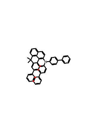 CC1(C)c2cc(-c3ccccc3)ccc2-c2c(N(c3ccc(-c4ccccc4)cc3)c3ccc(-c4ccccc4)cc3)ccc3cccc1c23